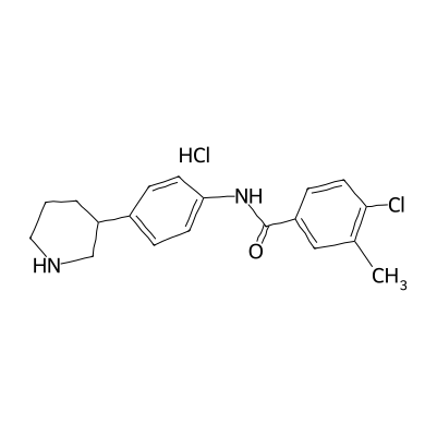 Cc1cc(C(=O)Nc2ccc(C3CCCNC3)cc2)ccc1Cl.Cl